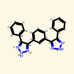 c1ccc(-c2n[nH]nc2-c2cccc(-c3n[nH]nc3-c3ccccc3)c2)cc1